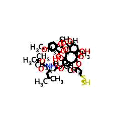 COc1ccc(OC)c(C(=O)O[C@H]2C3[C@](C)(C(=O)[C@H](OC(=O)CCSS)C4=C(C)[C@@H](OC(=O)C[C@H](C=C(C)C)NC(=O)OC(C)(C)C)C[C@]2(O)C4(C)C)[C@@H](O)C[C@H]2OC[C@@]32OC(C)=O)c1